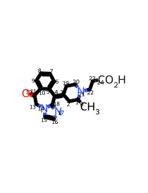 CC1CC(=C2c3ccccc3C(=O)Cn3ccnc32)CCN1CCC(=O)O